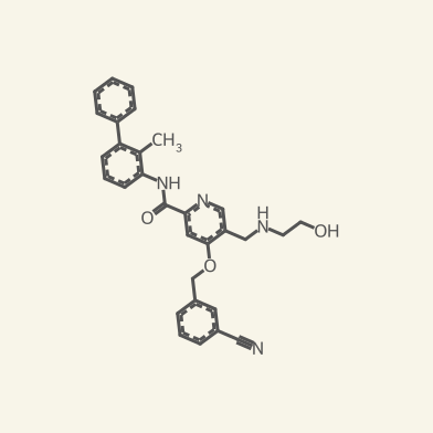 Cc1c(NC(=O)c2cc(OCc3cccc(C#N)c3)c(CNCCO)cn2)cccc1-c1ccccc1